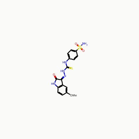 COc1ccc2c(c1)C(=NNC(=S)Nc1ccc(S(N)(=O)=O)cc1)C(=O)N2